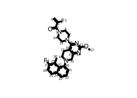 C=C(F)C(=O)N1CCN(c2nc(OC)nc3c2CCN(c2cccc4ccc(F)c(C)c24)C3)CC1